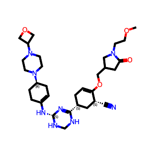 COCCN1CC(COC2=CC[C@@H](C3=N[C@@H](NC4=CC[C@H](N5CCN(C6COC6)CC5)CC4)NCN3)C[C@H]2C#N)CC1=O